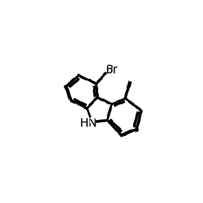 Cc1cccc2[nH]c3cccc(Br)c3c12